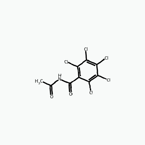 CC(=O)NC(=O)c1c(Cl)c(Cl)c(Cl)c(Cl)c1Cl